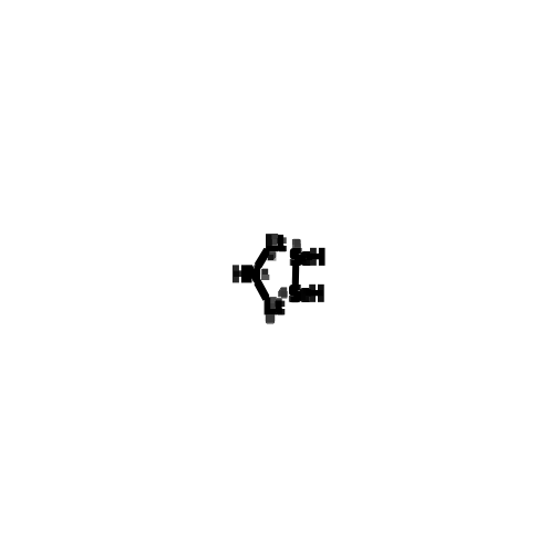 CCNCC.[SeH][SeH]